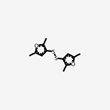 Cc1cc(SSc2cc(C)oc2C)c(C)o1